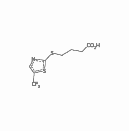 O=C(O)CCCSc1ncc(C(F)(F)F)s1